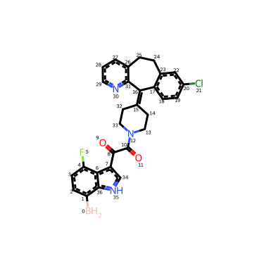 Bc1ccc(F)c2c(C(=O)C(=O)N3CCC(=C4c5ccc(Cl)cc5CCc5cccnc54)CC3)c[nH]c12